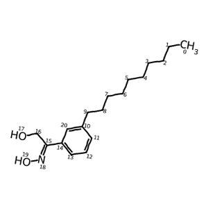 CCCCCCCCCCc1cccc(C(CO)=NO)c1